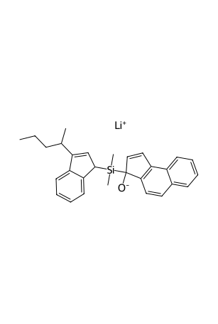 CCCC(C)C1=CC([Si](C)(C)C2([O-])C=Cc3c2ccc2ccccc32)c2ccccc21.[Li+]